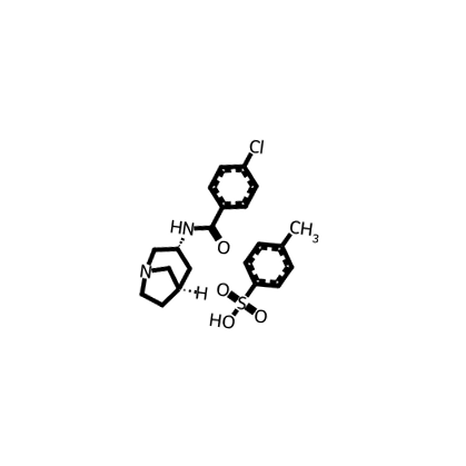 Cc1ccc(S(=O)(=O)O)cc1.O=C(N[C@@H]1C[C@H]2CCN(C2)C1)c1ccc(Cl)cc1